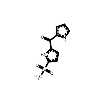 CS(=O)(=O)c1ccc(C(=O)c2ccc[nH]2)[nH]1